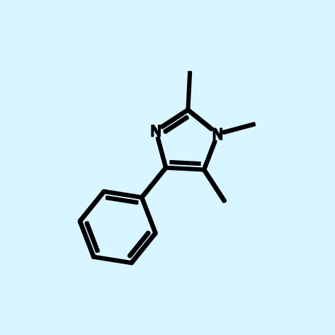 Cc1nc(-c2ccccc2)c(C)n1C